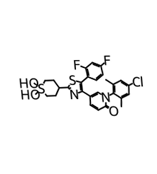 Cc1cc(Cl)cc(C)c1-n1cc(-c2nc(C3CCS(O)(O)CC3)sc2-c2ccc(F)cc2F)ccc1=O